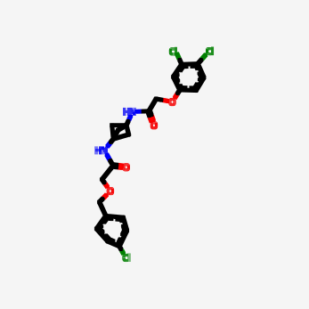 O=C(COCc1ccc(Cl)cc1)NC12CC(NC(=O)COc3ccc(Cl)c(Cl)c3)(C1)C2